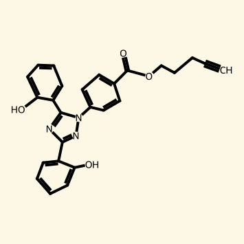 C#CCCCOC(=O)c1ccc(-n2nc(-c3ccccc3O)nc2-c2ccccc2O)cc1